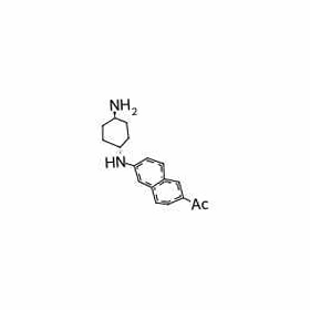 CC(=O)c1ccc2cc(N[C@H]3CC[C@H](N)CC3)ccc2c1